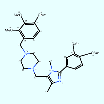 COc1ccc(-c2nc(C)c(CN3CCN(Cc4ccc(OC)c(OC)c4OC)CC3)n2C)cc1OC